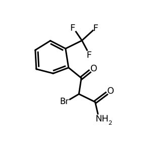 NC(=O)C(Br)C(=O)c1ccccc1C(F)(F)F